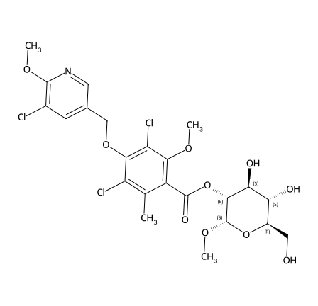 COc1ncc(COc2c(Cl)c(C)c(C(=O)O[C@H]3[C@@H](OC)O[C@H](CO)[C@@H](O)[C@@H]3O)c(OC)c2Cl)cc1Cl